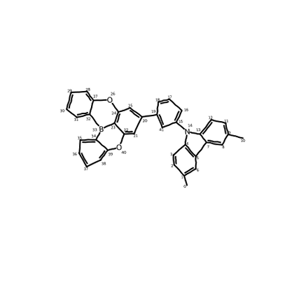 Cc1ccc2c(c1)c1cc(C)ccc1n2-c1cccc(-c2cc3c4c(c2)Oc2ccccc2B4c2ccccc2O3)c1